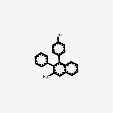 Cc1cc2ccccc2c(-c2ccc(O)cc2)c1-c1ccccc1